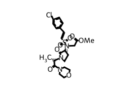 COC(=O)CN([C@H]1CCN([C@@H](C)C(=O)N2CCOCC2)C1=O)S(=O)(=O)C=Cc1ccc(Cl)cc1